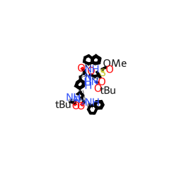 COC(=O)CSC(C)(C)[C@H](NC(=O)OC(C)(C)C)C(=O)N[C@@H](Cc1ccc([C@H]2C[C@@H](C(=O)N[C@@H]3CCCc4ccccc43)N(C(=O)[C@@H](N)C(C)(C)C)C2)cc1)C(=O)N[C@@H]1CCCc2ccccc21